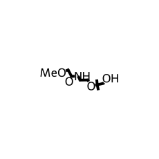 COCC(=O)NCCOC(C)(C)CO